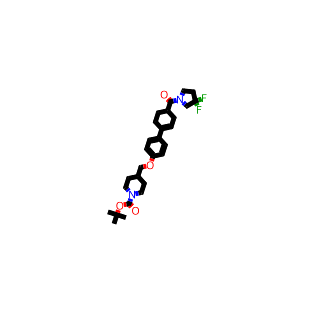 CC(C)(C)OC(=O)N1CCC(COc2ccc(C3=CCC(C(=O)N4CCC(F)(F)C4)CC3)cc2)CC1